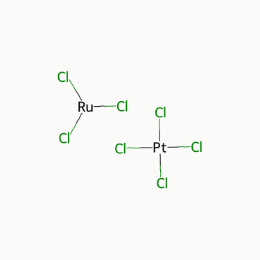 [Cl][Pt]([Cl])([Cl])[Cl].[Cl][Ru]([Cl])[Cl]